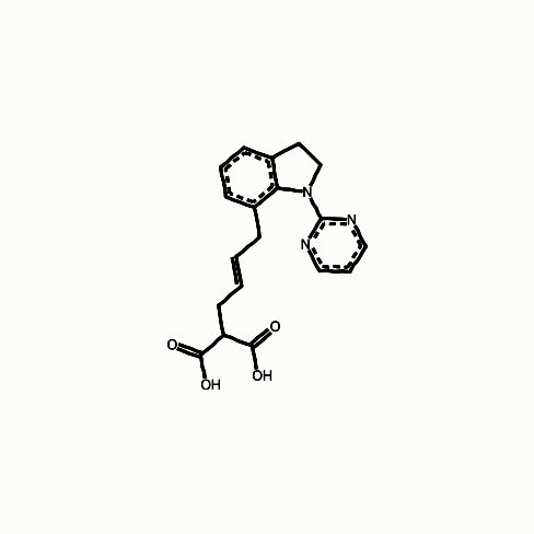 O=C(O)C(C/C=C/Cc1cccc2c1N(c1ncccn1)CC2)C(=O)O